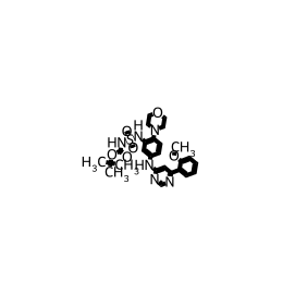 COc1ccccc1-c1cc(Nc2ccc(N3CCOCC3)c(NS(=O)(=O)NC(=O)OC(C)(C)C)c2)ncn1